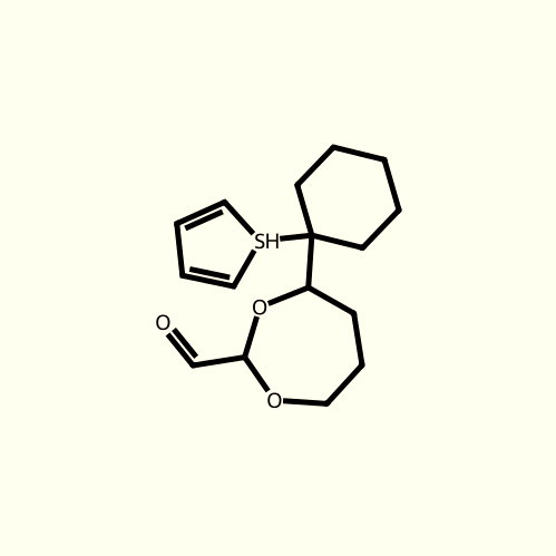 O=CC1OCCCC(C2([SH]3C=CC=C3)CCCCC2)O1